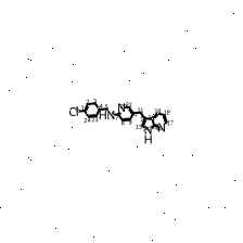 ClC1=CCC(CNc2ccc(Cc3c[nH]c4ncccc34)cn2)C=C1